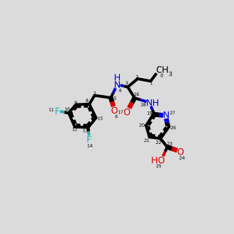 CCCC(NC(=O)Cc1cc(F)cc(F)c1)C(=O)Nc1ccc(C(=O)O)cn1